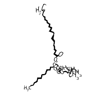 CCCCCCCCCCCCCCCCCCCC(=O)OC[C@H](COP(=O)(O)OCC[N+](C)(C)C)OC(=O)CCCCCCCCCCCC